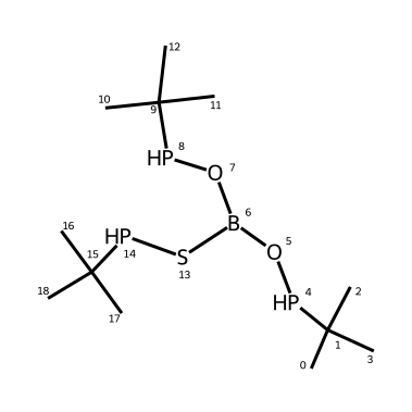 CC(C)(C)POB(OPC(C)(C)C)SPC(C)(C)C